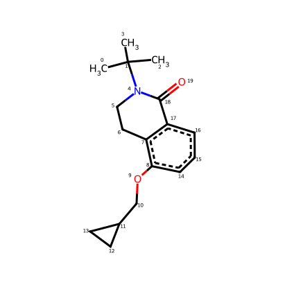 CC(C)(C)N1CCc2c(OCC3CC3)cccc2C1=O